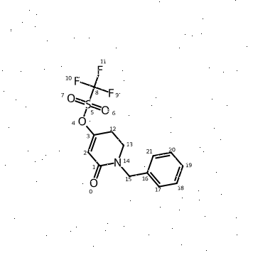 O=C1C=C(OS(=O)(=O)C(F)(F)F)CCN1Cc1ccccc1